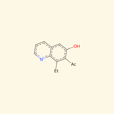 CCc1c(C(C)=O)c(O)cc2cccnc12